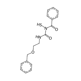 O=C(NCCOCc1ccccc1)N(S)C(=O)c1ccccc1